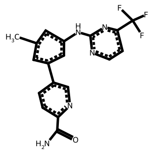 Cc1cc(Nc2nccc(C(F)(F)F)n2)cc(-c2ccc(C(N)=O)nc2)c1